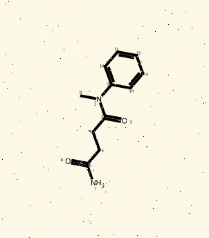 CN(C(=O)CCC(N)=O)c1ccccc1